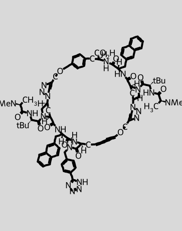 CN[C@@H](C)C(=O)N[C@H](C(=O)N1C[C@@H]2C[C@H]1C(=O)N[C@@H](Cc1ccc3ccccc3c1)C(=O)N[C@H](C(=O)O)Cc1ccc(cc1)OCc1cn(nn1)[C@H]1C[C@@H](C(=O)N[C@@H](Cc3ccc4ccccc4c3)C(=O)N[C@H](C(=O)NCc3ccc(-c4nnn[nH]4)cc3)Cc3ccc(cc3)OCc3cn2nn3)N(C(=O)[C@@H](NC(=O)[C@H](C)NC)C(C)(C)C)C1)C(C)(C)C